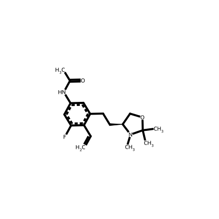 C=Cc1c(F)cc(NC(C)=O)cc1CC[C@H]1COC(C)(C)N1C